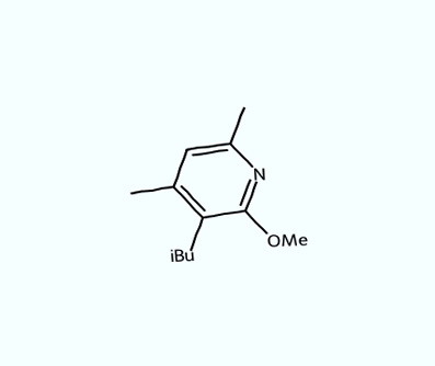 CCC(C)c1c(C)cc(C)nc1OC